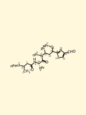 CCCCCN(C)CC(=O)N[C@@H](CCC)C(=O)N(CCC)C(CC(OCCC)c1nc(C=O)cs1)C(C)C